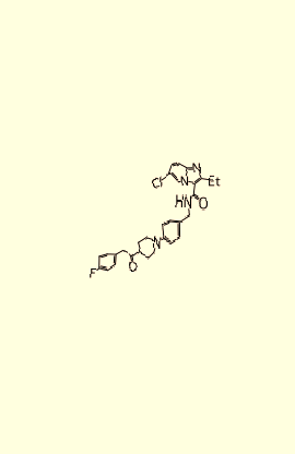 CCc1nc2ccc(Cl)cn2c1C(=O)NCc1ccc(N2CCC(C(=O)Cc3ccc(F)cc3)CC2)cc1